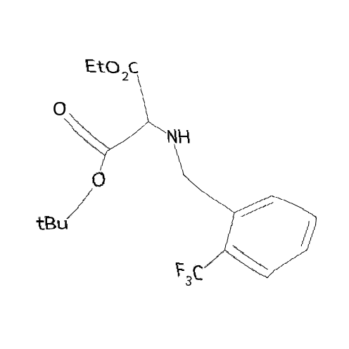 CCOC(=O)C(NCc1ccccc1C(F)(F)F)C(=O)OC(C)(C)C